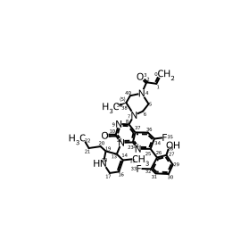 C=CC(=O)N1CCN(c2nc(=O)n(C3C(C)=CCNC3CCC)c3nc(-c4c(O)cccc4F)c(F)cc23)[C@@H](C)C1